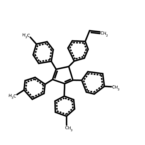 C=Cc1ccc(C2C(c3ccc(C)cc3)=C(c3ccc(C)cc3)C(c3ccc(C)cc3)=C2c2ccc(C)cc2)cc1